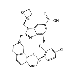 O=C(O)c1cc(F)c2nc(CN3CCc4ccc5c(c4C3)O[C@@H](c3ccc(Cl)cc3F)C=C5)n(C[C@@H]3CCO3)c2c1